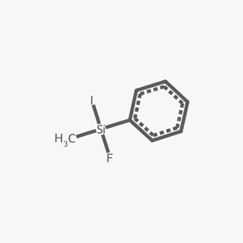 C[Si](F)(I)c1ccccc1